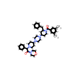 O=C(C(c1ccccc1)N1CCC(N2CCN(C3CCN(C(=O)c4cc(C(F)(F)F)cc(C(F)(F)F)c4)C(Cc4ccccc4)C3)CC2)CC1)N1CCOCC1